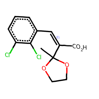 CC1(/C(=C\c2cccc(Cl)c2Cl)C(=O)O)OCCO1